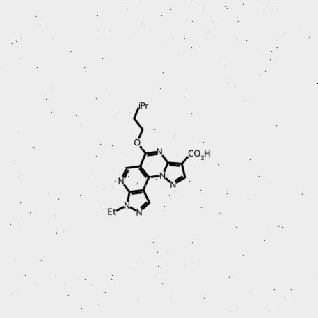 CCn1ncc2c1ncc1c(OCCC(C)C)nc3c(C(=O)O)cnn3c12